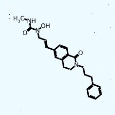 CNC(=O)N(O)CC=Cc1ccc2c(c1)CCN(CCCc1ccccc1)C2=O